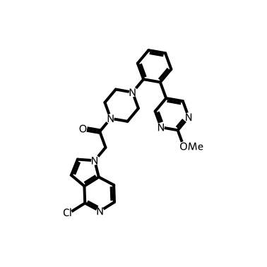 COc1ncc(-c2ccccc2N2CCN(C(=O)Cn3ccc4c(Cl)nccc43)CC2)cn1